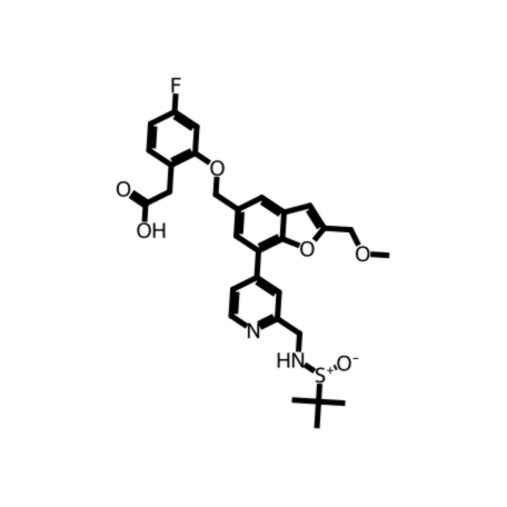 COCc1cc2cc(COc3cc(F)ccc3CC(=O)O)cc(-c3ccnc(CN[S+]([O-])C(C)(C)C)c3)c2o1